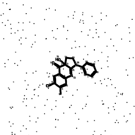 Cc1cc2c(cc1Cl)C(=O)C1(O)CCN(c3ccccc3)C1=N2